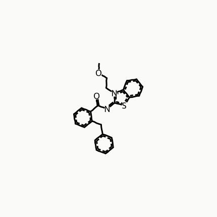 COCCn1c(=NC(=O)c2ccccc2Cc2ccccc2)sc2ccccc21